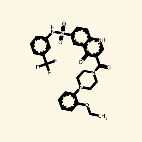 CCOc1ccccc1N1CCN(C(=O)c2c[nH]c3ccc(S(=O)(=O)Nc4cccc(C(F)(F)F)c4)cc3c2=O)CC1